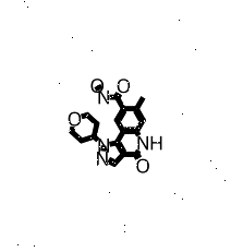 Cc1cc2[nH]c(=O)c3cnn(C4CCOCC4)c3c2cc1C(=O)N=O